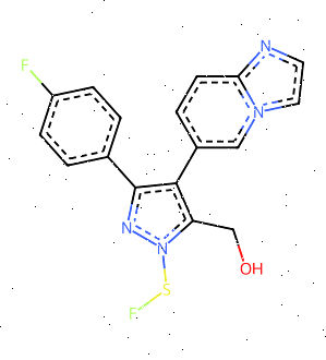 OCc1c(-c2ccc3nccn3c2)c(-c2ccc(F)cc2)nn1SF